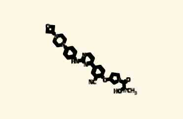 C[C@H](O)C(=O)N1CCC(Oc2ccc(-c3ccnc(Nc4ccc(N5CCN(C6COC6)CC5)cc4)n3)cc2C#N)C1